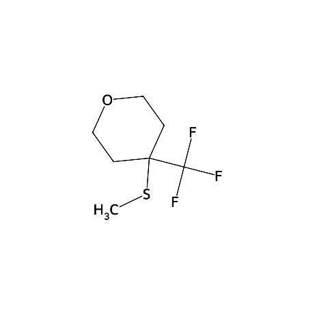 CSC1(C(F)(F)F)CCOCC1